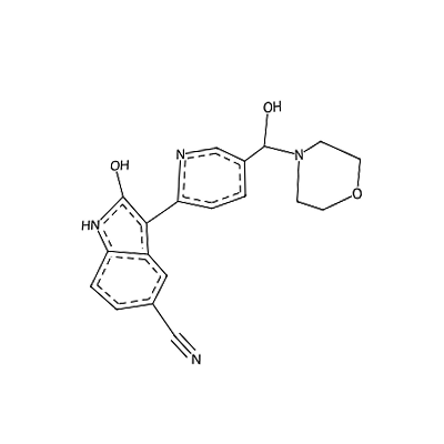 N#Cc1ccc2[nH]c(O)c(-c3ccc(C(O)N4CCOCC4)cn3)c2c1